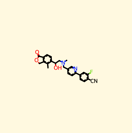 Cc1c(C(O)CN(C)Cc2ccc(-c3ccc(C#N)c(F)c3)nc2)ccc2c1COC2=O